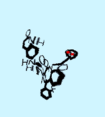 O=C1CCc2cc(NC(=O)N[C@@H]3N=C(c4ccccc4F)c4ccccc4N(CC(=O)N4CC5CCC(CC5)C4)C3=O)ccc2N1